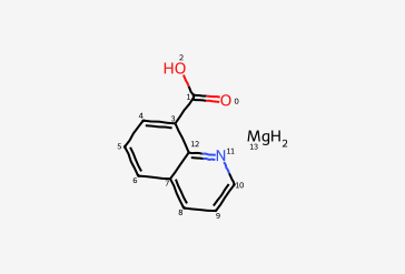 O=C(O)c1cccc2cccnc12.[MgH2]